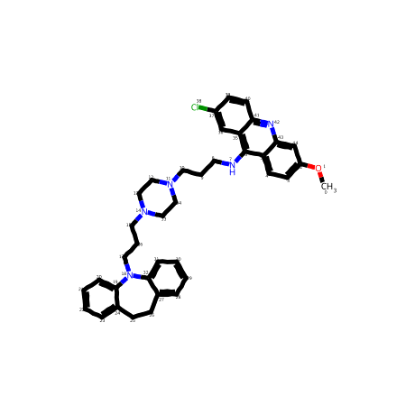 COc1ccc2c(NCCCN3CCN(CCCN4c5ccccc5CCc5ccccc54)CC3)c3cc(Cl)ccc3nc2c1